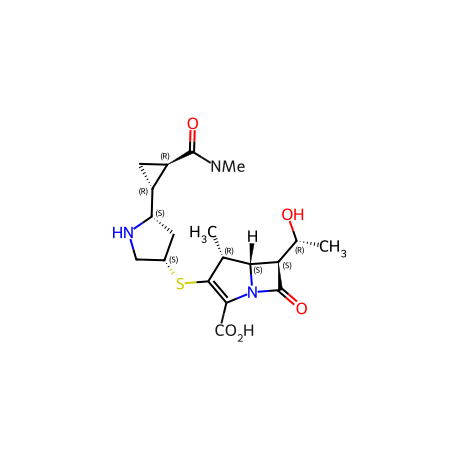 CNC(=O)[C@@H]1C[C@H]1[C@@H]1C[C@H](SC2=C(C(=O)O)N3C(=O)[C@H]([C@@H](C)O)[C@H]3[C@H]2C)CN1